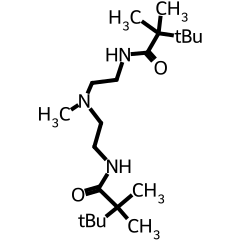 CN(CCNC(=O)C(C)(C)C(C)(C)C)CCNC(=O)C(C)(C)C(C)(C)C